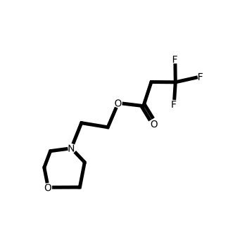 O=C(CC(F)(F)F)OCCN1CCOCC1